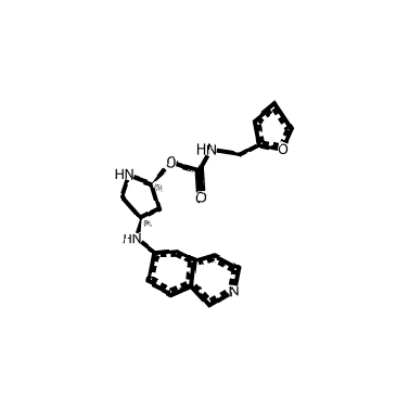 O=C(NCc1ccco1)O[C@H]1C[C@@H](Nc2ccc3cnccc3c2)CN1